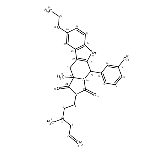 C=CCN(C)CCN1C(=O)N2C(c3cccc(O)c3)c3[nH]c4ccc(OCC)cc4c3CC2(C)C1=O